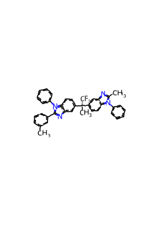 Cc1cccc(-c2nc3cc(C(C)(c4ccc5c(c4)nc(C)n5-c4ccccc4)C(F)(F)F)ccc3n2-c2ccccc2)c1